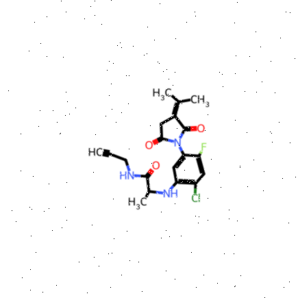 C#CCNC(=O)C(C)Nc1cc(N2C(=O)CC(=C(C)C)C2=O)c(F)cc1Cl